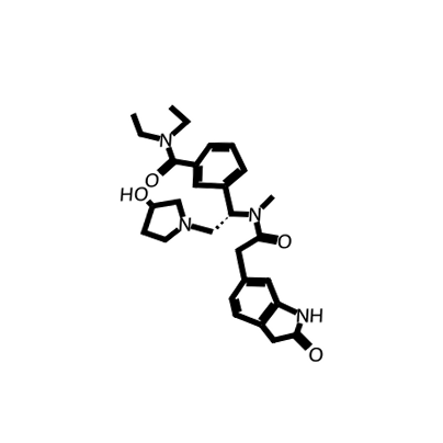 CCN(CC)C(=O)c1cccc([C@@H](CN2CCC(O)C2)N(C)C(=O)Cc2ccc3c(c2)NC(=O)C3)c1